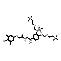 Cc1cc(OCC(=O)NC[C@H](O)c2ccc(OCOCC[Si](C)(C)C)c(N(COCC[Si](C)(C)C)S(C)(=O)=O)c2)cc(C)c1Br